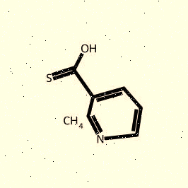 C.OC(=S)c1cccnc1